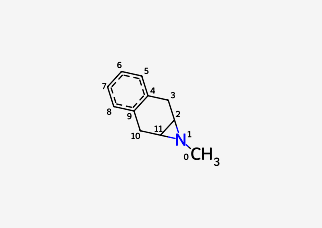 CN1C2Cc3ccccc3CC21